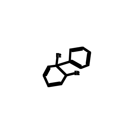 CCC1C=CC=CC1(CC)c1ccccc1